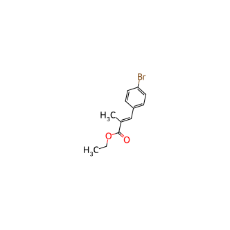 CCOC(=O)/C(C)=C/c1ccc(Br)cc1